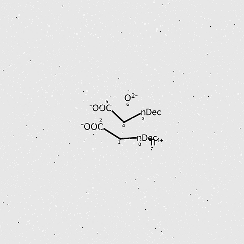 CCCCCCCCCCCC(=O)[O-].CCCCCCCCCCCC(=O)[O-].[O-2].[Ti+4]